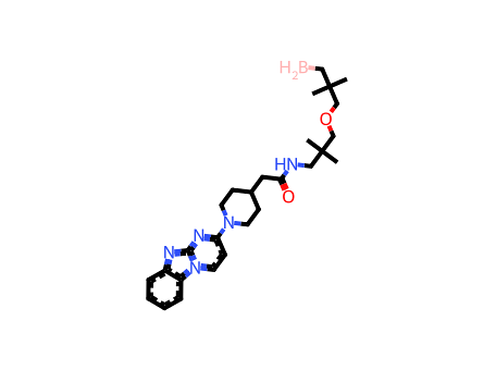 BCC(C)(C)COCC(C)(C)CNC(=O)CC1CCN(c2ccn3c(n2)nc2ccccc23)CC1